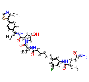 Cc1ncsc1-c1ccc([C@H](C)NC(=O)[C@@H]2C[C@@H](O)CN2C(=O)[C@@H](NC(=O)CCCCCc2cc(F)cc(NC(=O)[C@@H](C)CCC(N)=O)c2)C(C)(C)C)cc1